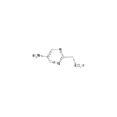 Nc1cnc(CC(=O)O)nc1